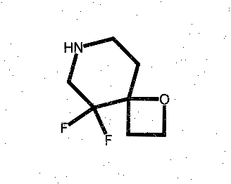 FC1(F)CNCCC12CCO2